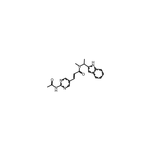 CC(=O)Nc1ncc(C=CC(=O)N(C)C(C)c2cc3ccccc3[nH]2)cn1